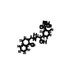 Cc1ccc(C(O)CNCC2CCc3ccccc3C2=O)cc1S(N)(=O)=O